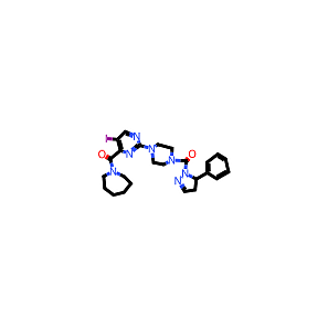 O=C(c1nc(N2CCN(C(=O)N3N=CCC3c3ccccc3)CC2)ncc1I)N1CCCCCC1